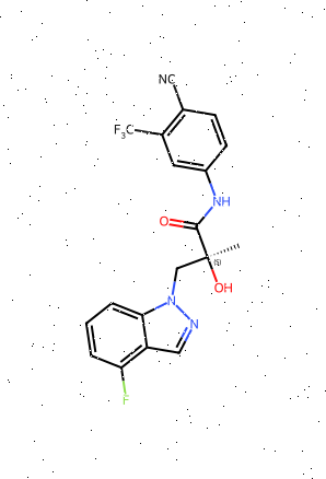 C[C@](O)(Cn1ncc2c(F)cccc21)C(=O)Nc1ccc(C#N)c(C(F)(F)F)c1